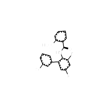 CCc1cccc(-c2cc(F)cc(F)c2NC(=O)c2ccccc2C(=O)O)c1